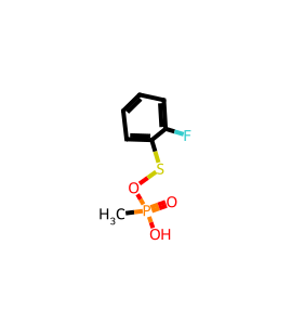 CP(=O)(O)OSc1ccccc1F